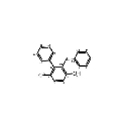 Oc1ccc(Cl)c(-c2ccccc2)c1Cc1ccccc1